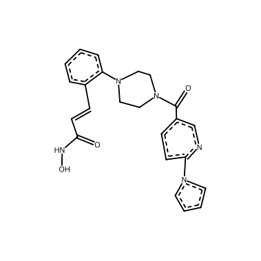 O=C(/C=C/c1ccccc1N1CCN(C(=O)c2ccc(-n3cccc3)nc2)CC1)NO